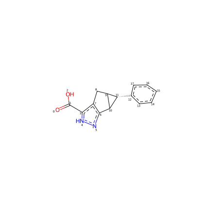 O=C(O)c1[nH]nc2c1CC1C2[C@H]1c1ccccc1